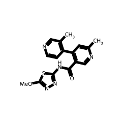 COc1nnc(NC(=O)c2cnc(C)cc2-c2ccncc2C)s1